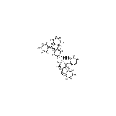 c1ccc(-c2c(Nc3ccc4c(c3)c3ccccc3n4-c3ccccc3)ccc3sc4ccccc4c23)cc1